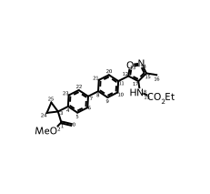 C=C(OC)C1(c2ccc(-c3ccc(-c4onc(C)c4NC(=O)OCC)cc3)cc2)CC1